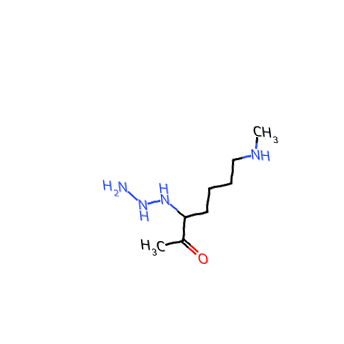 CNCCCCC(NNN)C(C)=O